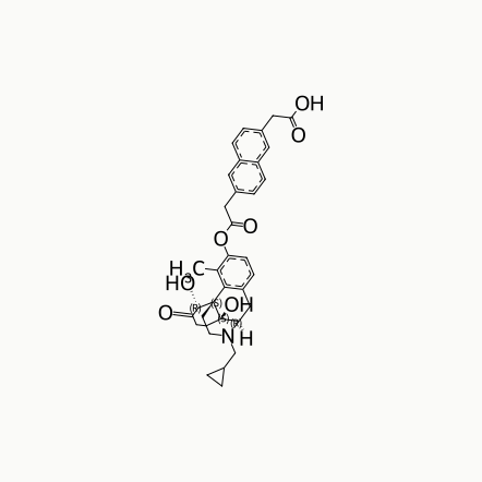 Cc1c(OC(=O)Cc2ccc3cc(CC(=O)O)ccc3c2)ccc2c1[C@]13CCN(CC4CC4)[C@H](C2)[C@]1(O)CCC(=O)[C@@H]3O